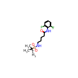 CC(C)(C)S(=O)(=O)NCCCCC(=O)Nc1c(F)cccc1F